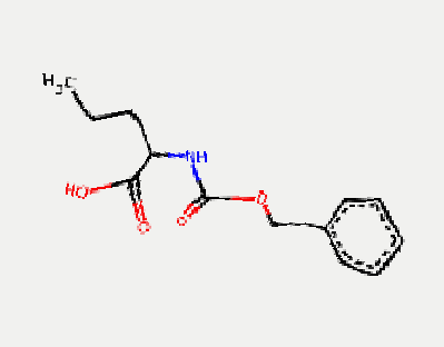 CCCC(NC(=O)OCc1ccccc1)C(=O)O